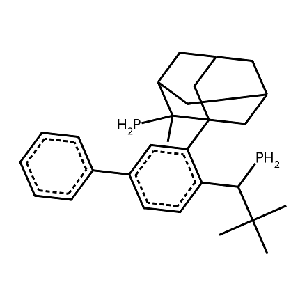 CC(C)(C)C(P)c1ccc(-c2ccccc2)cc1C12CC3CC(CC(C3)C1(C)P)C2